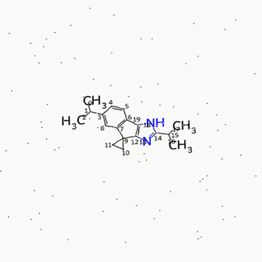 CC(C)c1ccc2c(c1)C1(CC1)c1nc(C(C)C)[nH]c1-2